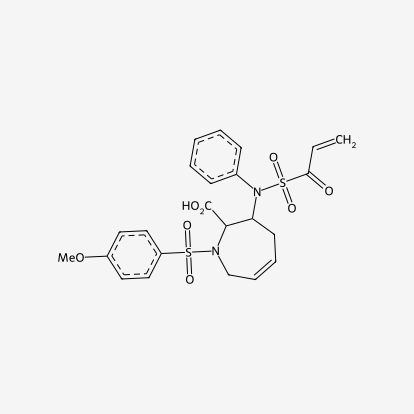 C=CC(=O)S(=O)(=O)N(c1ccccc1)C1CC=CCN(S(=O)(=O)c2ccc(OC)cc2)C1C(=O)O